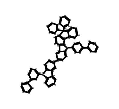 c1ccc(-c2ccc(-n3c4ccc(-c5ccc6c(c5)c5ccccc5n6-c5cccc(-c6ccccc6)c5)cc4c4ccc5c(c43)-c3ccccc3C5(c3ccccc3)c3ccccc3)cc2)cc1